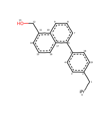 CC(C)Cc1ccc(-c2cccc3c(CO)cccc23)cc1